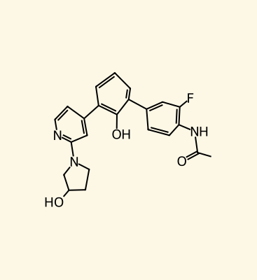 CC(=O)Nc1ccc(-c2cccc(-c3ccnc(N4CCC(O)C4)c3)c2O)cc1F